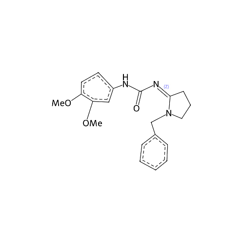 COc1ccc(NC(=O)/N=C2/CCCN2Cc2ccccc2)cc1OC